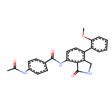 COc1ccccc1-c1ccc(NC(=O)c2ccc(NC(C)=O)cc2)c2c1CNC2=O